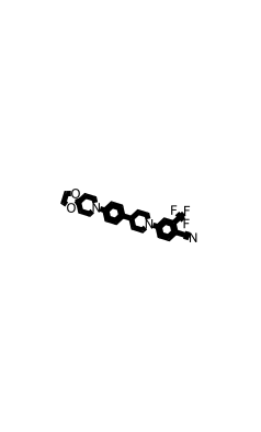 N#Cc1ccc(N2CCC(c3ccc(N4CCC5(CC4)OCCO5)cc3)CC2)cc1C(F)(F)F